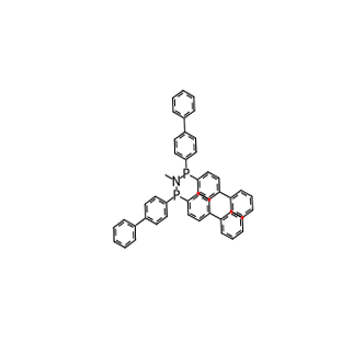 CN(P(c1ccc(-c2ccccc2)cc1)c1ccc(-c2ccccc2)cc1)P(c1ccc(-c2ccccc2)cc1)c1ccc(-c2ccccc2)cc1